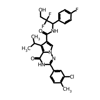 Cc1ccc(-c2nn3cc(C(=O)NC(c4ccc(F)cc4)C(F)(F)CO)c(C(C)C)c3c(=O)[nH]2)cc1Cl